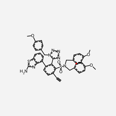 C#Cc1ccc(-c2cccc3sc(N)nc23)c(-c2nnnn2Cc2ccc(OC)cc2)c1S(=O)(=O)N(Cc1ccc(OC)cc1)Cc1ccc(OC)cc1